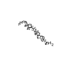 C=CCCC1OCC(c2ccc(-c3ccc(-c4ccc(CCCCC)c(F)c4F)cc3)c(F)c2F)CO1